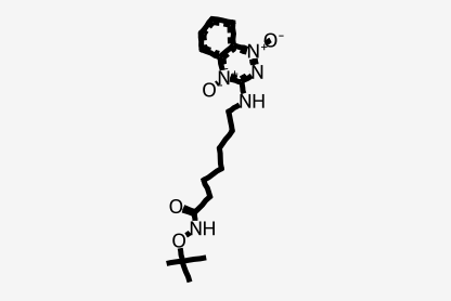 CC(C)(C)ONC(=O)CCCCCCNc1n[n+]([O-])c2ccccc2[n+]1[O-]